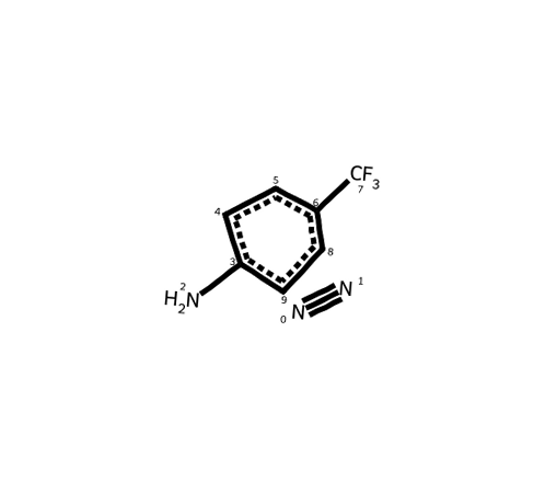 N#N.Nc1ccc(C(F)(F)F)cc1